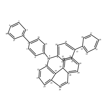 c1ccc(-c2ccc(N(c3ccc(-c4ccccc4)cc3)c3cccc4ncc5cccnc5c34)cc2)cc1